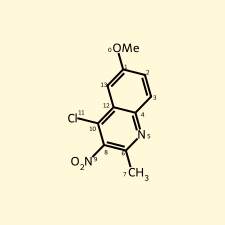 COc1ccc2nc(C)c([N+](=O)[O-])c(Cl)c2c1